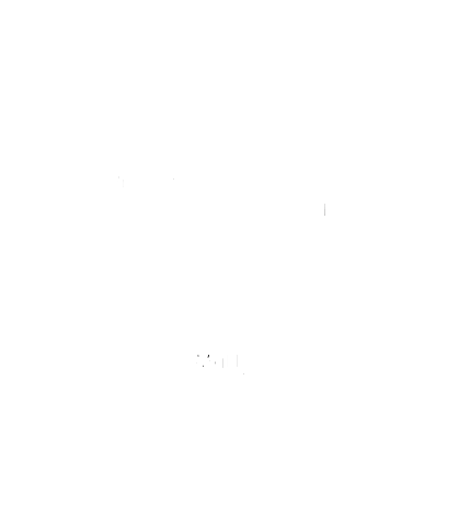 Fc1ccc(Br)c2ccccc12.[MgH2]